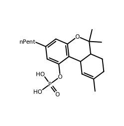 CCCCCc1cc2c(c(OP(=O)(O)O)c1)C1C=C(C)CCC1C(C)(C)O2